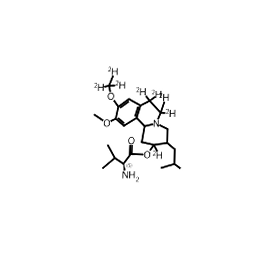 [2H]C([2H])([2H])Oc1cc2c(cc1OC)C1CC([2H])(OC(=O)[C@@H](N)C(C)C)C(CC(C)C)CN1C([2H])([2H])C2([2H])[2H]